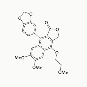 COCCOc1c2c(c(-c3ccc4c(c3)OCO4)c3cc(OC)c(OC)cc13)C(=O)OC2